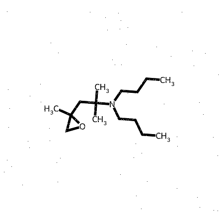 CCCCN(CCCC)C(C)(C)CC1(C)CO1